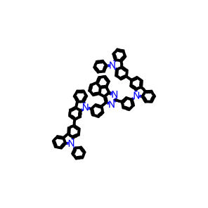 c1ccc(-n2c3ccccc3c3cc(-c4ccc5c6ccccc6n(-c6cccc(-c7nc(-c8cccc(-n9c%10ccccc%10c%10ccc(-c%11ccc%12c(c%11)c%11ccccc%11n%12-c%11ccccc%11)cc%109)c8)c8c(n7)-c7cccc9cccc-8c79)c6)c5c4)ccc32)cc1